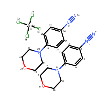 N#[N+]c1ccc(N2CCOCC2)cc1.N#[N+]c1ccc(N2CCOCC2)cc1.[Cl][Zn-2]([Cl])([Cl])[Cl]